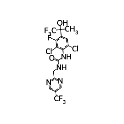 CC(O)(c1cc(Cl)c(NC(=O)NCc2ncc(C(F)(F)F)cn2)c(Cl)c1F)C(F)(F)F